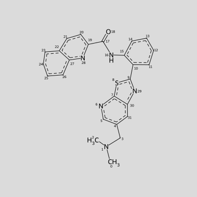 CN(C)Cc1cnc2sc(-c3ccccc3NC(=O)c3ccc4ccccc4n3)nc2c1